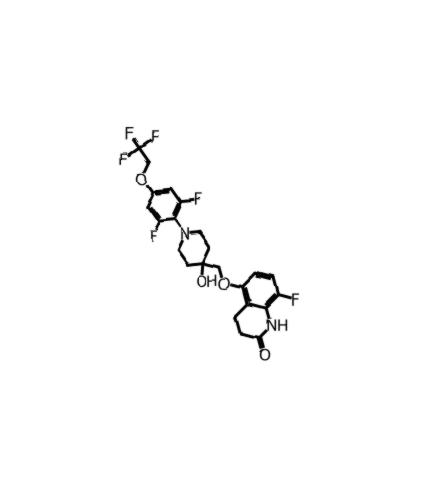 O=C1CCc2c(OCC3(O)CCN(c4c(F)cc(OCC(F)(F)F)cc4F)CC3)ccc(F)c2N1